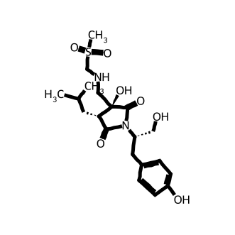 CC(C)C[C@H]1C(=O)N([C@H](CO)Cc2ccc(O)cc2)C(=O)[C@@]1(O)CNCS(C)(=O)=O